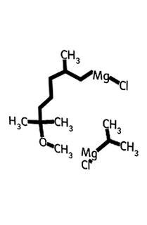 COC(C)(C)CCCC(C)C[CH2][Mg][Cl].C[CH](C)[Mg][Cl]